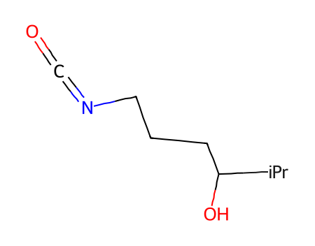 CC(C)C(O)CCCN=C=O